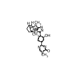 CN(c1nnc(-c2ccc(-c3ncn(C)c(=O)n3)cc2O)s1)[C@H]1[C@@H]2CC[C@@](C)(NC2)[C@@H]1F